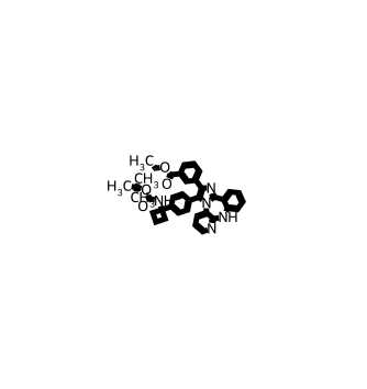 CCOC(=O)c1cccc(-c2nc3n(c2-c2ccc(C4(NC(=O)OC(C)(C)C)CCC4)cc2)-c2cccnc2Nc2ccccc2-3)c1